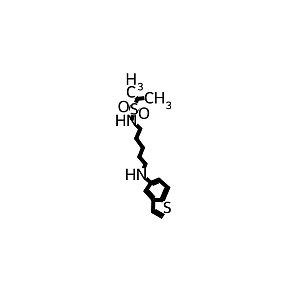 CC(C)S(=O)(=O)NCCCCCNc1ccc2sccc2c1